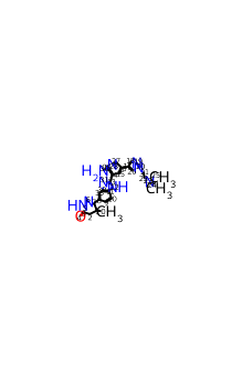 CC1CC(=O)NN=C1c1ccc2[nH]c(-c3cc(-c4cnn(CCN(C)C)c4)cnc3N)nc2c1